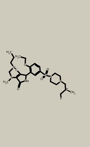 CCCN1CC2=C(C(=O)NC2c2cc(S(=O)(=O)N3CCN(C[C@@H](C)CF)CC3)ccc2OCC)N(C)C1